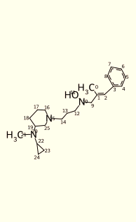 C/C(=C\c1ccccc1)CN(O)CCCN1CCCC(N(C)C2CC2)C1